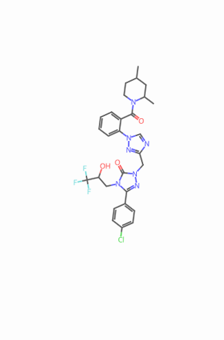 CC1CCN(C(=O)c2ccccc2-n2cnc(Cn3nc(-c4ccc(Cl)cc4)n(CC(O)C(F)(F)F)c3=O)n2)C(C)C1